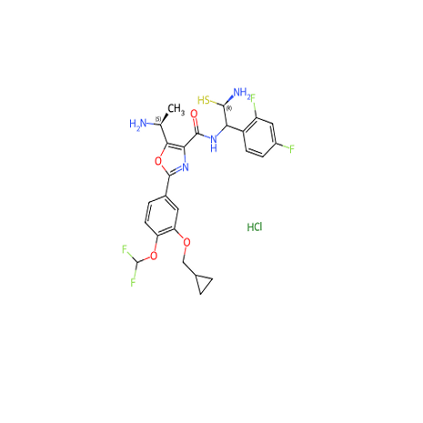 C[C@H](N)c1oc(-c2ccc(OC(F)F)c(OCC3CC3)c2)nc1C(=O)NC(c1ccc(F)cc1F)[C@H](N)S.Cl